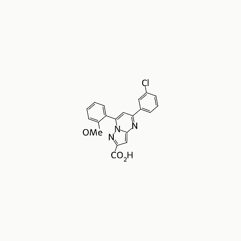 COc1ccccc1-c1cc(-c2cccc(Cl)c2)nc2cc(C(=O)O)nn12